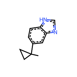 CC1(c2ccc3[nH]cnc3c2)CC1